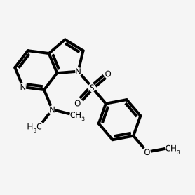 COc1ccc(S(=O)(=O)n2ccc3ccnc(N(C)C)c32)cc1